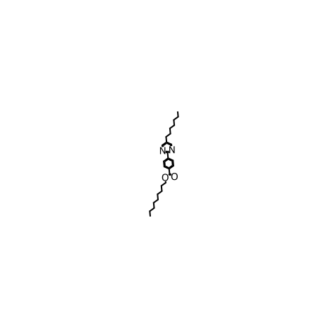 CCCCCCCCCOC(=O)c1ccc(-c2ncc(CCCCCCC)cn2)cc1